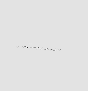 CNCCNCCNCCNCCNCCNC